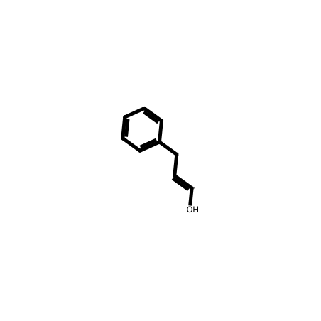 O[C]=CCc1ccccc1